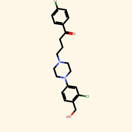 O=C(CCCN1CCN(c2ccc(CO)c(Cl)c2)CC1)c1ccc(Cl)cc1